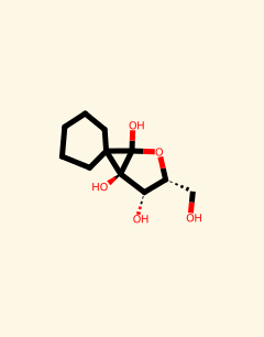 OC[C@H]1OC2(O)C3(CCCCC3)[C@@]2(O)[C@H]1O